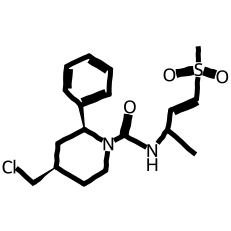 CC(/C=C/S(C)(=O)=O)NC(=O)N1CC[C@@H](CCl)C[C@H]1c1ccccc1